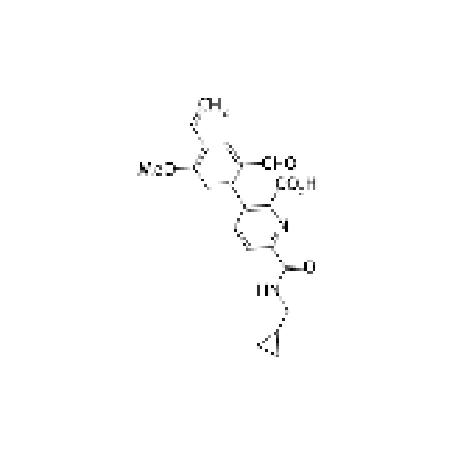 C=Cc1cc(C=O)c(-c2ccc(C(=O)NCC3CC3)nc2C(=O)O)cc1OC